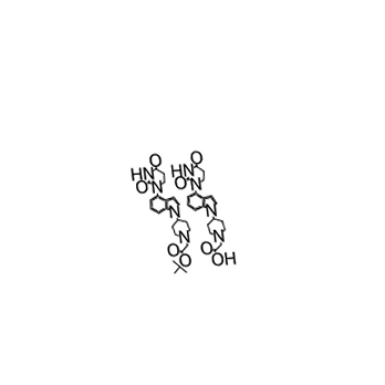 CC(C)(C)OC(=O)CN1CCC(n2ccc3c(N4CCC(=O)NC4=O)cccc32)CC1.O=C(O)CN1CCC(n2ccc3c(N4CCC(=O)NC4=O)cccc32)CC1